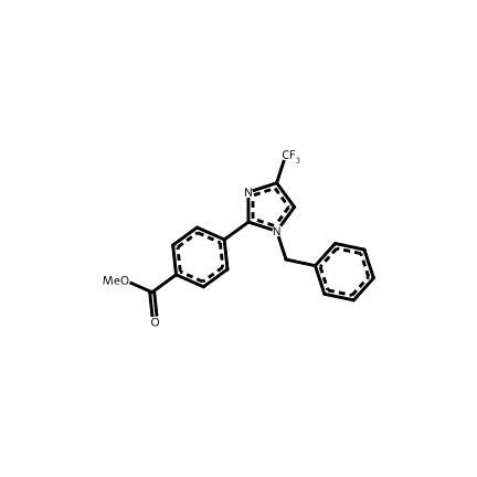 COC(=O)c1ccc(-c2nc(C(F)(F)F)cn2Cc2ccccc2)cc1